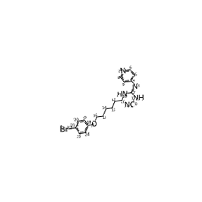 N#CNC(=Nc1ccncc1)NCCCCCCOc1ccc(Br)cc1